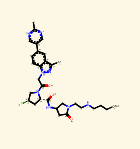 COCCCNCCN1CC(NC(=O)[C@@H]2C[C@@H](F)CN2C(=O)Cn2nc(C(C)=O)c3cc(-c4cnc(C)nc4)ccc32)CC1=O